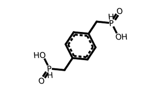 O=[PH](O)Cc1ccc(C[PH](=O)O)cc1